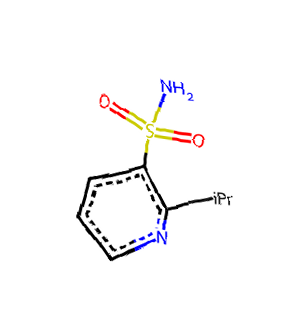 CC(C)c1ncccc1S(N)(=O)=O